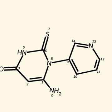 Nc1cc(=O)[nH]c(=S)n1-c1cccnc1